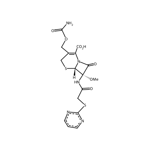 CO[C@@]1(NC(=O)CSc2ncccn2)C(=O)N2C(C(=O)O)=C(COC(N)=O)CS[C@H]21